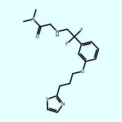 CN(C)C(=O)CNCC(F)(F)c1cccc(OCCCc2nccs2)c1